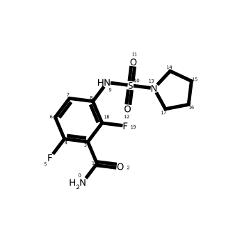 NC(=O)c1c(F)ccc(NS(=O)(=O)N2CCCC2)c1F